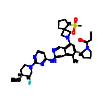 C=CC(=O)N1CCC[C@@H]1c1cc(N2CC3(CCC[C@@H]3S(C)(=O)=O)C2)c2cnc(Nc3ccnc(N4CC[C@@H](OC)[C@@H](F)C4)n3)cc2c1C(C)C